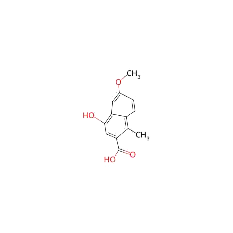 COc1ccc2c(C)c(C(=O)O)cc(O)c2c1